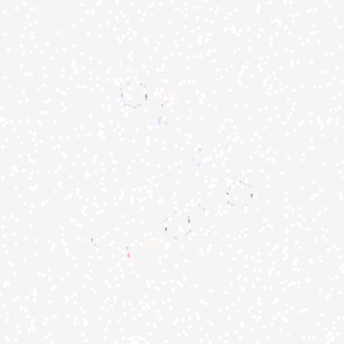 COC(=O)COc1ccc(N(Cc2cccnc2)C2CCN([C@H](C)CCNC(=O)c3c(C)cc(Cl)nc3C)CC2)cc1